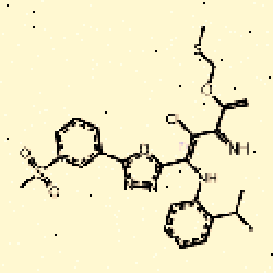 C=C(OCSC)C(=N)/C(Cl)=C(\Nc1ccccc1C(C)C)c1nnc(-c2cccc(S(C)(=O)=O)c2)o1